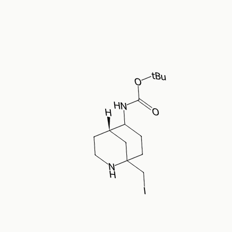 CC(C)(C)OC(=O)NC1CCC2(CI)C[C@@H]1CCN2